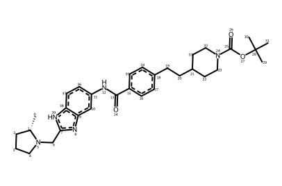 C[C@H]1CCCN1Cc1nc2cc(NC(=O)c3ccc(CCC4CCN(C(=O)OC(C)(C)C)CC4)cc3)ccc2[nH]1